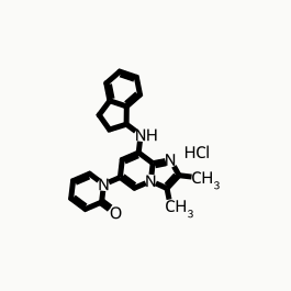 Cc1nc2c(NC3CCc4ccccc43)cc(-n3ccccc3=O)cn2c1C.Cl